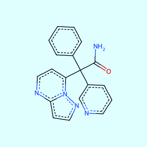 NC(=O)C(c1ccccc1)(c1cccnc1)c1ccnc2ccnn12